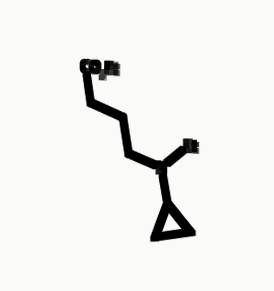 CCOC(=O)CCCN(CC)C1CC1